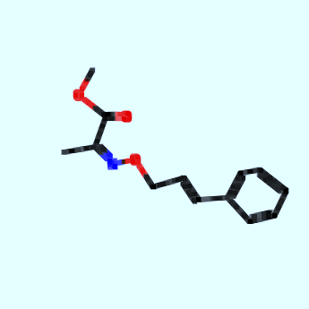 COC(=O)C(C)=NOC/C=C/c1ccccc1